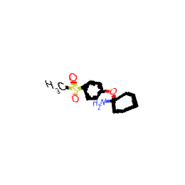 CS(=O)(=O)c1ccc(OC2(N)CCCCC2)cc1